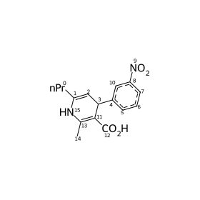 CCCC1=CC(c2cccc([N+](=O)[O-])c2)C(C(=O)O)=C(C)N1